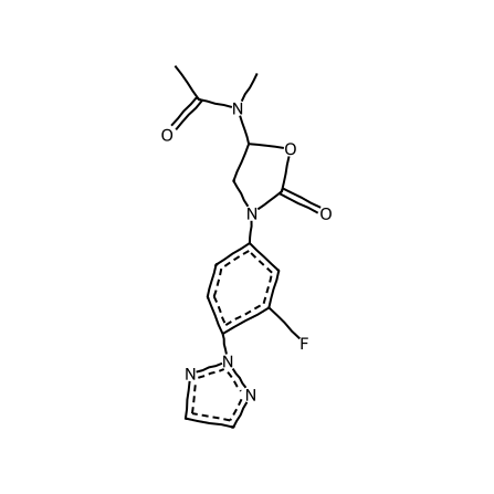 CC(=O)N(C)C1CN(c2ccc(-n3nccn3)c(F)c2)C(=O)O1